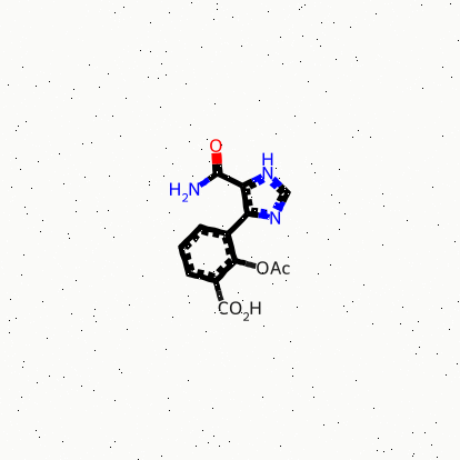 CC(=O)Oc1c(C(=O)O)cccc1-c1nc[nH]c1C(N)=O